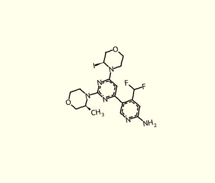 C[C@H]1COCCN1c1nc(-c2cnc(N)cc2C(F)F)cc(N2CCOC[C@@H]2I)n1